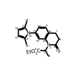 CCOC(=O)C(C)N1C(=S)CCc2ccc(-n3c(C)ccc3C)cc21